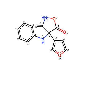 C=C1NOC(=O)C1(Nc1ccccc1)c1ccoc1